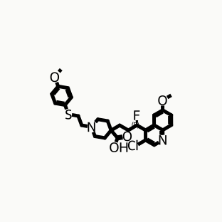 COc1ccc(SCCN2CCC(CC[C@@H](F)c3c(Cl)cnc4ccc(OC)cc34)(C(=O)O)CC2)cc1